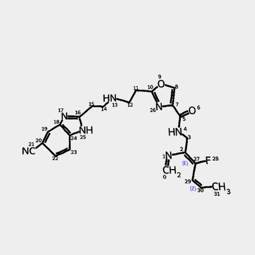 C=N/C(CNC(=O)c1coc(CCNCCc2nc3cc(C#N)ccc3[nH]2)n1)=C(F)\C=C/C